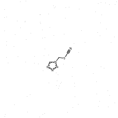 N#CSCn1cnnn1